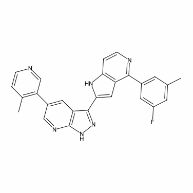 Cc1cc(F)cc(-c2nccc3[nH]c(-c4n[nH]c5ncc(-c6cnccc6C)cc45)cc23)c1